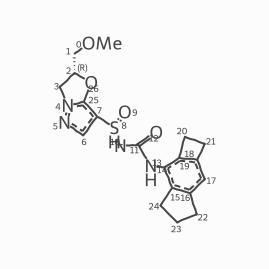 COC[C@H]1Cn2ncc([SH](=O)=NC(=O)Nc3c4c(cc5c3CC5)CCC4)c2O1